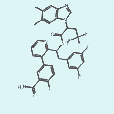 Cc1cc2ncn(C(CC(F)(F)F)C(=O)NC(Cc3cc(F)cc(F)c3)c3ncccc3-c3ccc(F)c(C(N)=O)c3)c2cc1C